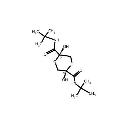 CC(C)(C)NC(=O)[C@]1(O)CO[C@](O)(C(=O)NC(C)(C)C)CO1